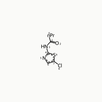 CCCC(=O)Nc1ncc(Cl)s1